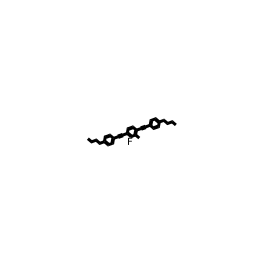 CCCCc1ccc(C#Cc2ccc(C#Cc3ccc(CCCC)cc3)c(F)c2C)cc1